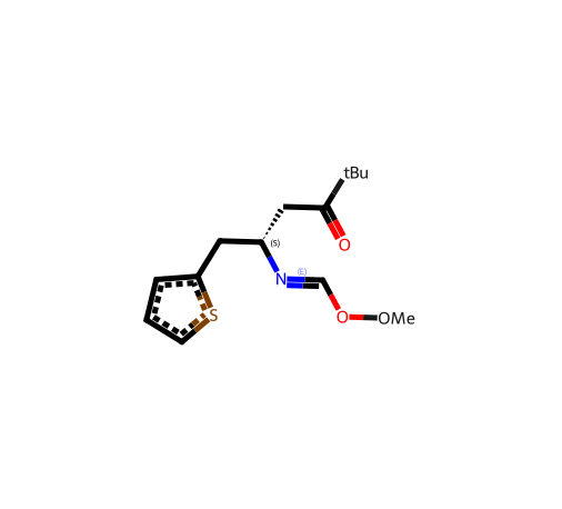 COO/C=N/[C@@H](CC(=O)C(C)(C)C)Cc1cccs1